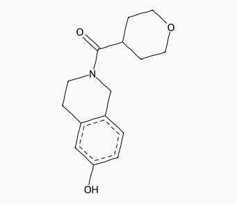 O=C(C1CCOCC1)N1CCc2cc(O)ccc2C1